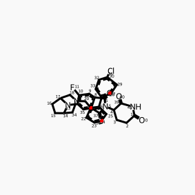 O=C1CCC(N2C(=O)c3cc(F)c(N4C5CCC4CN(Cc4ccccc4-c4ccc(Cl)cc4)C5)cc3C2=O)C(=O)N1